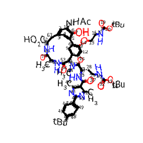 CC(=O)Nc1cc2cc(c1O)-c1cc(ccc1OCCNC(=O)OC(C)(C)C)[C@H](N(C)C(=O)[C@H](CCNC(=O)OC(C)(C)C)NC(=O)c1c(C)nc(-c3ccc(C(C)(C)C)cc3)nc1C)C(=O)N[C@@H](C)C(=O)N[C@H](C(=O)O)C2